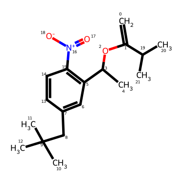 C=C(OC(C)c1cc(CC(C)(C)C)ccc1[N+](=O)[O-])C(C)C